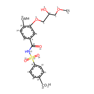 CCOCC(O)COc1cc(C(=O)NS(=O)(=O)c2ccc(C(=O)O)cc2)ccc1OC